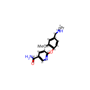 CCCNCc1ccc(Oc2ccc(C(N)=O)cn2)c(OC)c1